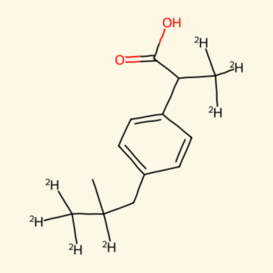 [2H]C([2H])([2H])C(C(=O)O)c1ccc(CC([2H])(C)C([2H])([2H])[2H])cc1